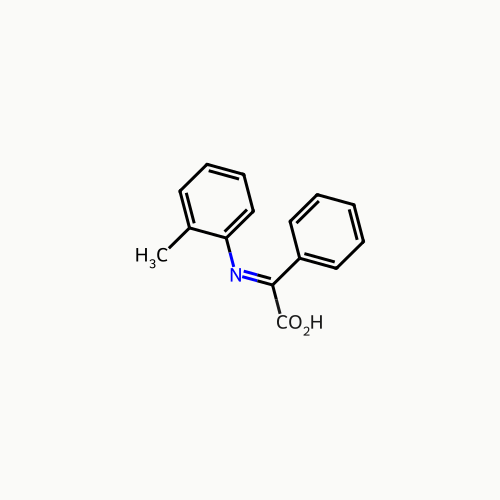 Cc1ccccc1N=C(C(=O)O)c1ccccc1